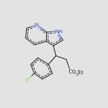 CCOC(=O)CC(c1ccc(F)cc1)c1c[nH]c2ncccc12